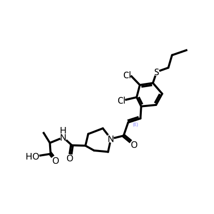 CCCSc1ccc(/C=C/C(=O)N2CCC(C(=O)NC(C)C(=O)O)CC2)c(Cl)c1Cl